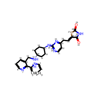 C=C(N/C=C\C)c1ncccc1CN[C@H]1CC[C@H](Nc2nccc(C/C=C3\SC(=O)NC3=O)n2)CC1